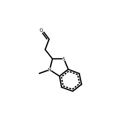 CN1c2ccccc2SC1CC=O